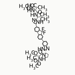 COC(=O)NC(C(=O)N[C@H](c1ncc(-c2ccc3c(c2)C(F)(F)c2cc(-c4ccc5nc([C@@H]6CCCN6C(=O)[C@@H](NC(=O)OC)[C@@H](C)OC)[nH]c5c4)ccc2-3)[nH]1)C(C)C)C(C)C